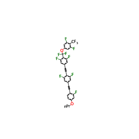 CCCOc1ccc(C#Cc2cc(F)c(C#Cc3cc(F)c(C(F)(F)Oc4cc(F)c(C(F)(F)F)c(F)c4)c(F)c3)c(F)c2)c(F)c1